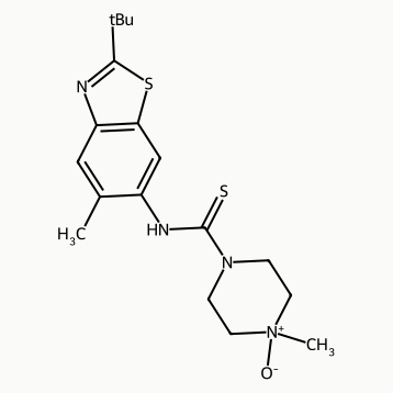 Cc1cc2nc(C(C)(C)C)sc2cc1NC(=S)N1CC[N+](C)([O-])CC1